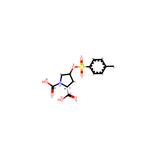 Cc1ccc(S(=O)(=O)OC2C[C@H](C(=O)O)N(C(=O)O)C2)cc1